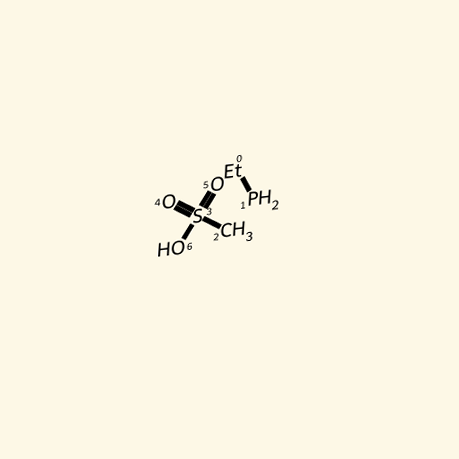 CCP.CS(=O)(=O)O